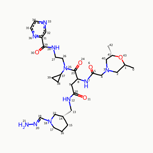 CC1CN(CC(=O)NC(CC(=O)NC[C@@H]2CCCN(C=NN)C2)C(=O)N(CCNC(=O)c2cnccn2)C2CC2)C[C@H](C)O1